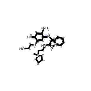 C[N+]1(CCNc2nn3ccccc3c2/N=C2\C=C(OCCO)C(=N)C=C2N)CCCC1